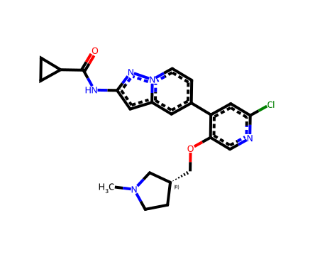 CN1CC[C@@H](COc2cnc(Cl)cc2-c2ccn3nc(NC(=O)C4CC4)cc3c2)C1